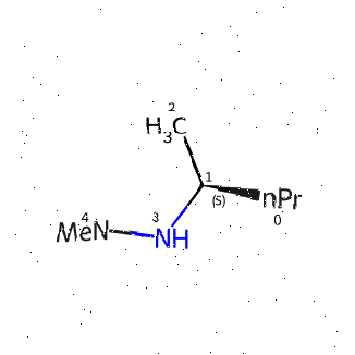 CCC[C@H](C)NNC